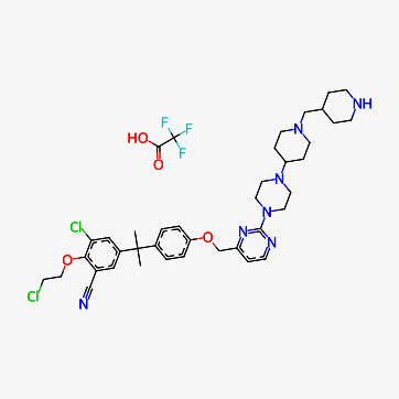 CC(C)(c1ccc(OCc2ccnc(N3CCN(C4CCN(CC5CCNCC5)CC4)CC3)n2)cc1)c1cc(Cl)c(OCCCl)c(C#N)c1.O=C(O)C(F)(F)F